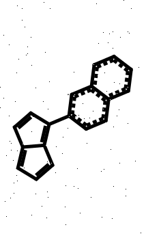 [c]1c(C2=C3C=CC=C3C=C2)ccc2ccccc12